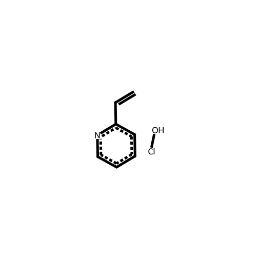 C=Cc1ccccn1.OCl